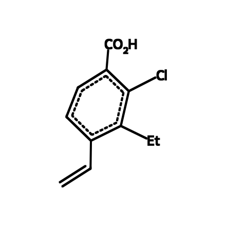 C=Cc1ccc(C(=O)O)c(Cl)c1CC